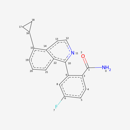 NC(=O)c1ccc(F)cc1-c1nccc2c(C3CC3)cccc12